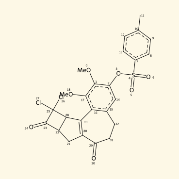 COc1c(OS(=O)(=O)c2ccc(C)cc2)cc2c(c1OC)C1=C(CC3C(=O)C(Cl)(Cl)C13)C(=O)CC2